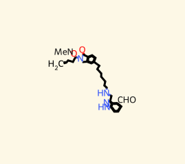 C=CCCC(ONC)N1Cc2cc(CCCCCCCNCc3n[nH]c4cccc(C=O)c34)ccc2C1=O